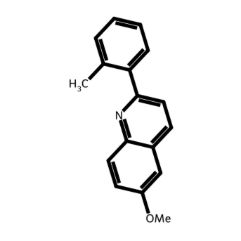 COc1ccc2nc(-c3ccccc3C)ccc2c1